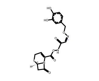 O=C(/C=N\OCc1ccc(O)c(O)c1)NOC(=O)C1=CCS[C@@H]2CC(=O)N12